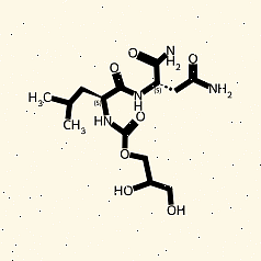 CC(C)C[C@H](NC(=O)OCC(O)CO)C(=O)N[C@@H](CC(N)=O)C(N)=O